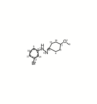 COC1CCC(=NNc2cccc(Br)c2)CC1